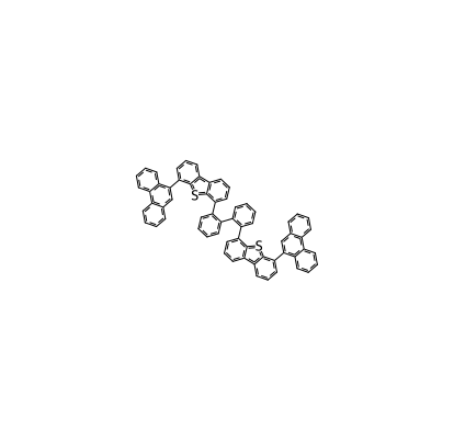 c1ccc(-c2cccc3c2sc2c(-c4cc5ccccc5c5ccccc45)cccc23)c(-c2ccccc2-c2cccc3c2sc2c(-c4cc5ccccc5c5ccccc45)cccc23)c1